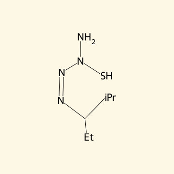 CCC(/N=N\N(N)S)C(C)C